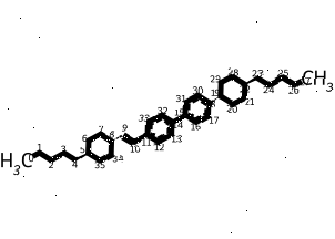 CCCCC[C@H]1CC[C@H](C=Cc2ccc(-c3ccc([C@H]4CC[C@H](CCCCC)CC4)cc3)cc2)CC1